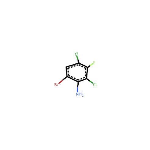 Nc1c(Br)cc(Cl)c(F)c1Cl